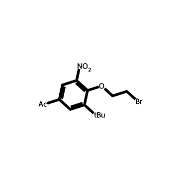 CC(=O)c1cc([N+](=O)[O-])c(OCCBr)c(C(C)(C)C)c1